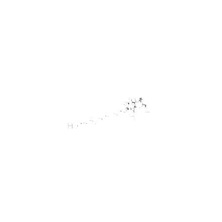 CCCCCCCCCCCCCC(=O)N[C@H](CC(C)C)C(=O)O